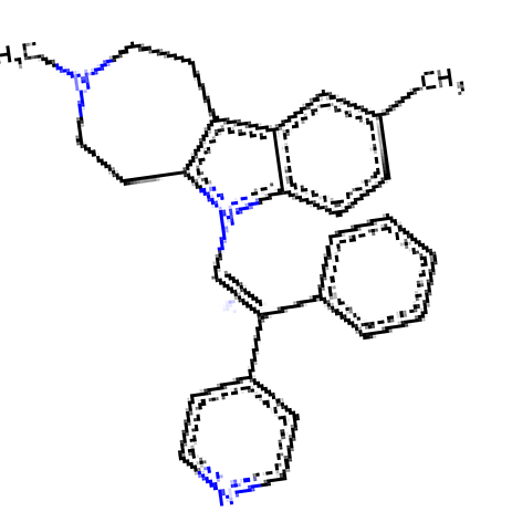 Cc1ccc2c(c1)c1c(n2/C=C(\c2ccccc2)c2ccncc2)CCN(C)CC1